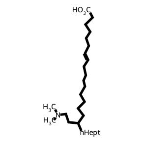 CCCCCCCC(CCCCCCCCC=CCCCCCC(=O)O)CCN(C)C